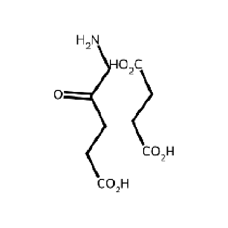 NCC(=O)CCC(=O)O.O=C(O)CCC(=O)O